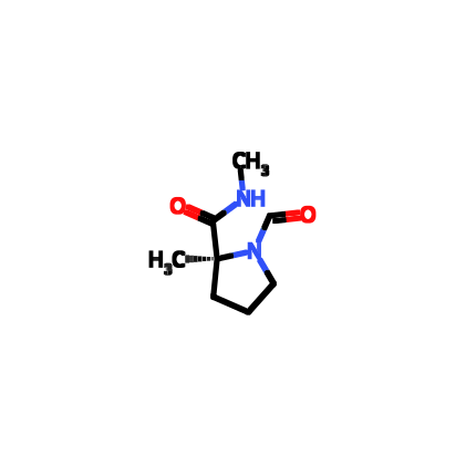 CNC(=O)[C@]1(C)CCCN1C=O